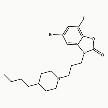 CCCCC1CCN(CCCn2c(=O)oc3c(F)cc(Br)cc32)CC1